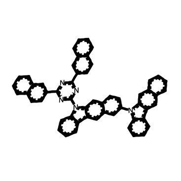 c1ccc2cc(-c3nc(-c4ccc5ccccc5c4)nc(-n4c5ccccc5c5cc6cc(-n7c8ccccc8c8cc9ccccc9cc87)ccc6cc54)n3)ccc2c1